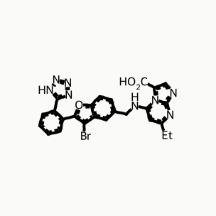 CCc1cc(NCc2ccc3oc(-c4ccccc4-c4nnn[nH]4)c(Br)c3c2)n2c(C(=O)O)cnc2n1